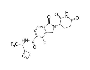 O=C1CCC(N2Cc3c(ccc(C(=O)N[C@@H](C(F)(F)F)C45CC(C4)C5)c3F)C2=O)C(=O)N1